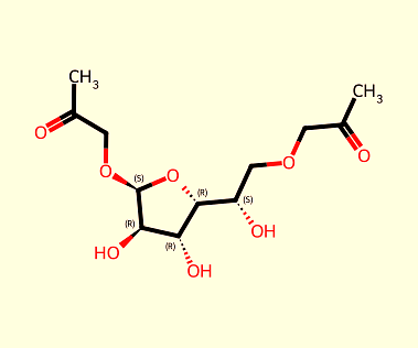 CC(=O)COC[C@H](O)[C@H]1O[C@H](OCC(C)=O)[C@H](O)[C@H]1O